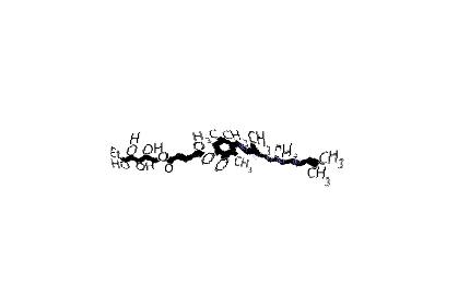 CCC(O)C(O)C(O)C(O)COC(=O)CCC(=O)OC1CC(C)(C)C(/C=C/C(C)=C/C=C/C(C)=C/C=C/C=C(C)C)=C(C)C1=O